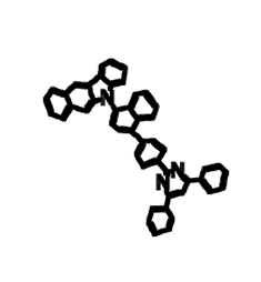 c1ccc(-c2cc(-c3ccccc3)nc(-c3ccc(-c4ccc(-n5c6ccccc6c6cc7ccccc7cc65)c5ccccc45)cc3)n2)cc1